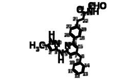 Cc1cc(Nc2cc(Cc3ccccc3)cc(-c3ccc(CCC(=O)NC=O)cc3)n2)n[nH]1